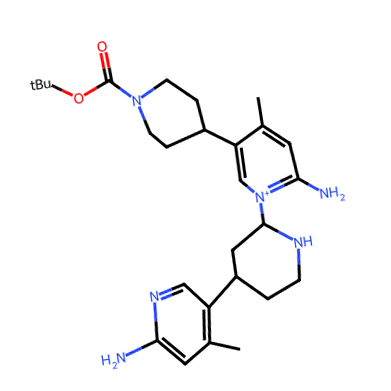 Cc1cc(N)[n+](C2CC(c3cnc(N)cc3C)CCN2)cc1C1CCN(C(=O)OC(C)(C)C)CC1